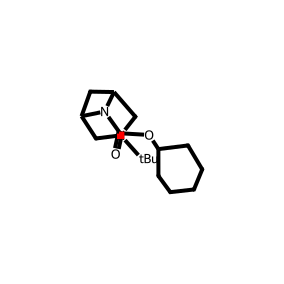 CC(C)(C)N1CC2CC(C1)N2C(=O)OC1CCCCC1